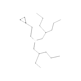 CCCC(CC)CN(CCC1CC1)CC(CCC)CCC